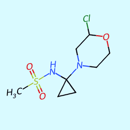 CS(=O)(=O)NC1(N2CCOC(Cl)C2)CC1